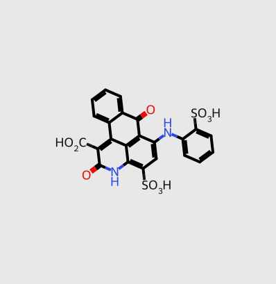 O=C(O)c1c2c3c(c(Nc4ccccc4S(=O)(=O)O)cc(S(=O)(=O)O)c3[nH]c1=O)C(=O)c1ccccc1-2